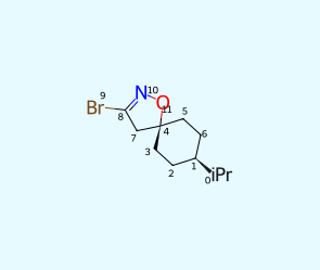 CC(C)[C@H]1CC[C@@]2(CC1)CC(Br)=NO2